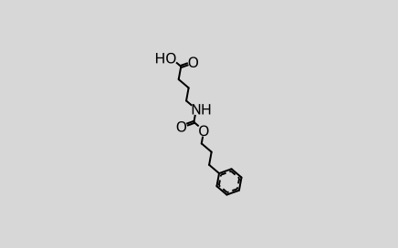 O=C(O)CCCNC(=O)OCCCc1ccccc1